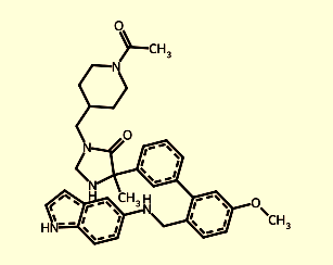 COc1ccc(CNc2ccc3[nH]ccc3c2)c(-c2cccc(C3(C)NCN(CC4CCN(C(C)=O)CC4)C3=O)c2)c1